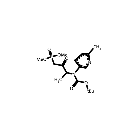 COP(=O)(CC(=O)C(C)N(C(=O)OC(C)(C)C)c1ccc(C)nc1)OC